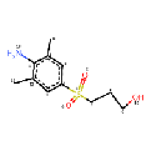 Cc1cc(S(=O)(=O)CCCO)cc(C)c1N